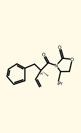 C=C[C@@](C)(Cc1ccccc1)C(=O)N1C(=O)OCC1C(C)C